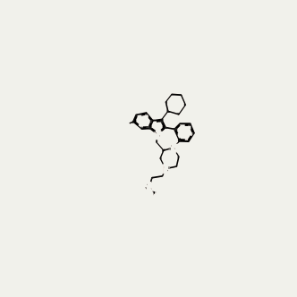 CN(C)CCN1CCN2c3ccccc3-c3c(C4CCCCC4)c4ccc(C(=O)O)cc4n3CC2C1